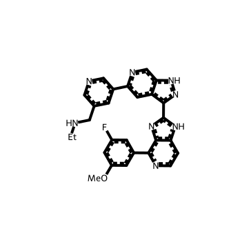 CCNCc1cncc(-c2cc3c(-c4nc5c(-c6cc(F)cc(OC)c6)nccc5[nH]4)n[nH]c3cn2)c1